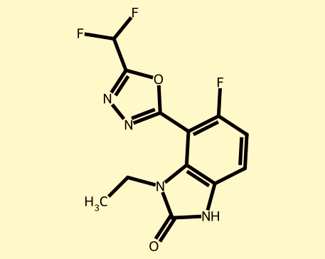 CCn1c(=O)[nH]c2ccc(F)c(-c3nnc(C(F)F)o3)c21